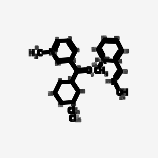 C[n+]1cccc(C(=O)C2CCCCC2)c1.C[n+]1ccccc1C=NO.[Cl-].[Cl-]